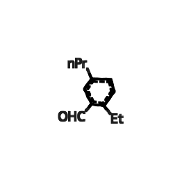 CCCc1ccc(CC)c(C=O)c1